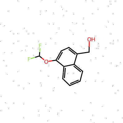 OCc1ccc(OC(F)F)c2ccccc12